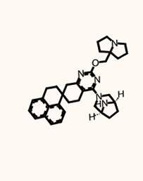 c1cc2c3c(cccc3c1)C1(CCc3c(nc(OCC45CCCN4CCC5)nc3N3C[C@H]4CC[C@@H](C3)N4)C1)CC2